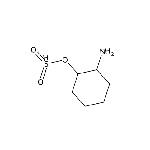 NC1CCCCC1O[SH](=O)=O